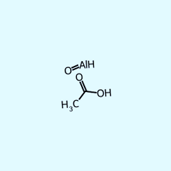 CC(=O)O.[O]=[AlH]